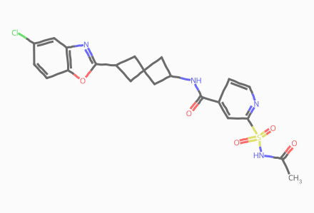 CC(=O)NS(=O)(=O)c1cc(C(=O)NC2CC3(C2)CC(c2nc4cc(Cl)ccc4o2)C3)ccn1